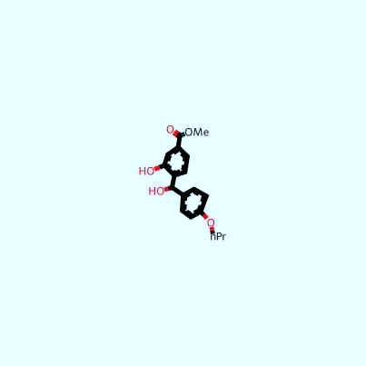 CCCOc1ccc(C(O)c2ccc(C(=O)OC)cc2O)cc1